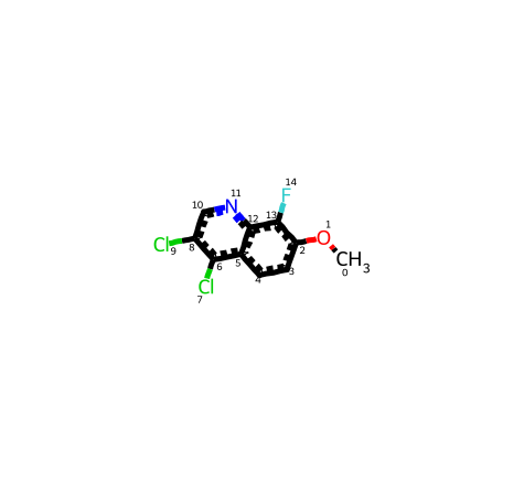 COc1ccc2c(Cl)c(Cl)cnc2c1F